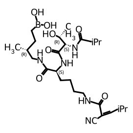 CC(C)C=C(C#N)C(=O)NCCCC[C@H](NC(=O)[C@@H](NC(=O)C(C)C)[C@@H](C)O)C(=O)NC[C@H](C)CCB(O)O